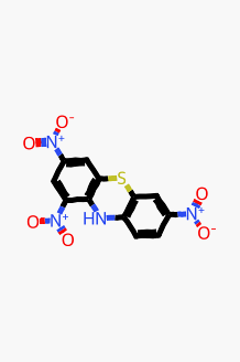 O=[N+]([O-])c1ccc2c(c1)Sc1cc([N+](=O)[O-])cc([N+](=O)[O-])c1N2